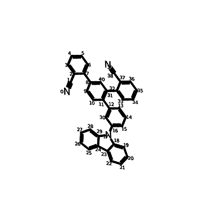 N#Cc1ccccc1-c1ccc(-c2cccc(-n3c4ccccc4c4ccccc43)c2)c(-c2ccccc2C#N)c1